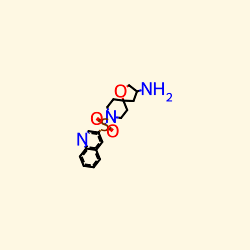 NC1COC2(CCN(S(=O)(=O)c3cnc4ccccc4c3)CC2)C1